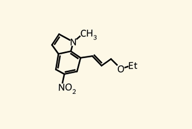 CCOC/C=C/c1cc([N+](=O)[O-])cc2ccn(C)c12